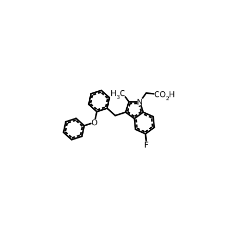 Cc1c(Cc2ccccc2Oc2ccccc2)c2cc(F)ccc2n1CC(=O)O